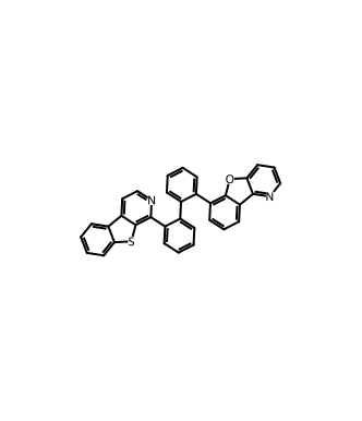 c1ccc(-c2cccc3c2oc2cccnc23)c(-c2ccccc2-c2nccc3c2sc2ccccc23)c1